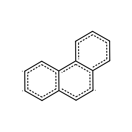 [c]1[c]cc2c(c1)c[c]c1ccccc12